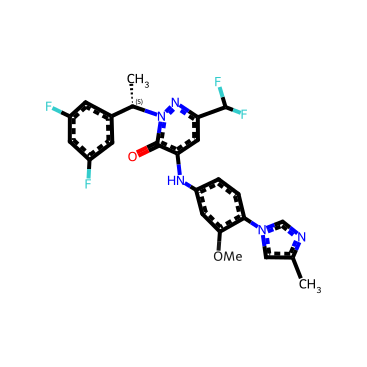 COc1cc(Nc2cc(C(F)F)nn([C@@H](C)c3cc(F)cc(F)c3)c2=O)ccc1-n1cnc(C)c1